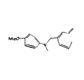 C=C/C=C(\C=C/C)CN(C)c1ccc(OC)cc1